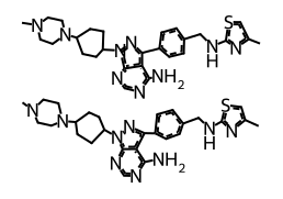 Cc1csc(NCc2ccc(-c3nn(C4CCC(N5CCN(C)CC5)CC4)c4ncnc(N)c34)cc2)n1.Cc1csc(NCc2ccc(-c3nn(C4CCC(N5CCN(C)CC5)CC4)c4ncnc(N)c34)cc2)n1